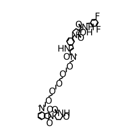 CN(CCOCCOCCOCCOCCOCCN(C)c1cccc2c1C(=O)N(C1CCC(=O)NC1=O)C2=O)C(=O)c1cc2cc(N3CC[C@](O)(C(=O)NCc4cc(F)cc(F)c4)C3=O)ccc2[nH]1